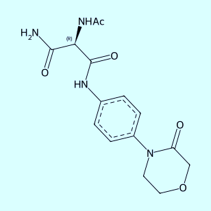 CC(=O)N[C@H](C(N)=O)C(=O)Nc1ccc(N2CCOCC2=O)cc1